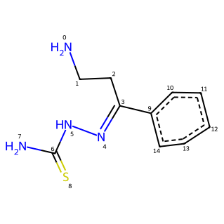 NCCC(=NNC(N)=S)c1ccccc1